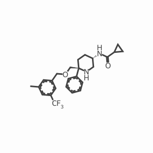 Cc1cc(COC[C@@]2(c3ccccc3)CC[C@H](NC(=O)C3CC3)CN2)cc(C(F)(F)F)c1